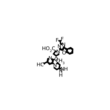 C#Cc1cnc(O[C@H]2C[C@@H](C(=O)O)N(c3nc(C(F)F)nc4c3oc3ccccc34)C2)c(N2CCC3(C[C@@H]2C)NN3)c1